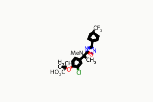 CNC(C)(c1ccc(OC(C)(C)C(=O)O)c(Cl)c1)c1nc(-c2ccc(C(F)(F)F)cc2)no1